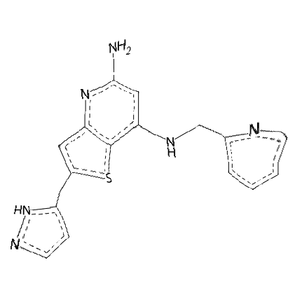 Nc1cc(NCc2ccccn2)c2sc(-c3ccn[nH]3)cc2n1